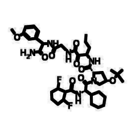 CCCC(NC(=O)[C@@H]1C[C@@H](OC(C)(C)C)CN1C(=O)[C@@H](NC(=O)C1C(F)CCCC1F)C1CCCCC1)C(=O)C(=O)NCC(=O)NC(C(N)=O)c1cccc(OC)c1